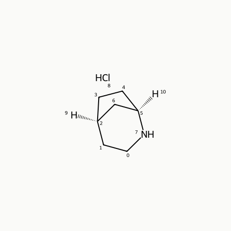 C1C[C@H]2CC[C@H](C2)N1.Cl